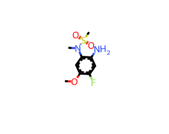 COc1cc(N(C)S(C)(=O)=O)c(N)cc1F